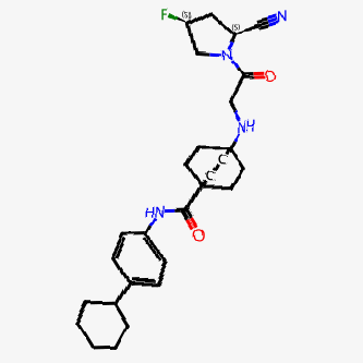 N#C[C@@H]1C[C@H](F)CN1C(=O)CNC12CCC(C(=O)Nc3ccc(C4CCCCC4)cc3)(CC1)CC2